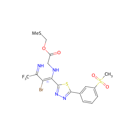 CSCOC(=O)CN/C(=C(/Br)C(=N)C(F)(F)F)c1nnc(-c2cccc(S(C)(=O)=O)c2)s1